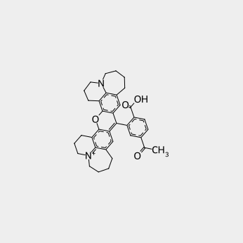 CC(=O)c1ccc(C(=O)O)c(C2=c3cc4c5c(c3Oc3c2cc2c6c3CCCN6CCCC2)CCC[N+]=5CCCC4)c1